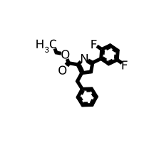 CCOC(=O)C1=C(Cc2ccccc2)CC(c2cc(F)ccc2F)=N1